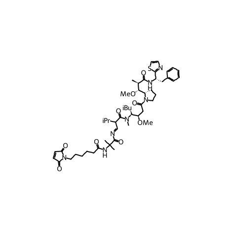 CC[C@H](C)[C@@H]([C@@H](CC(=O)N1CCC[C@H]1[C@H](OC)[C@@H](C)C(=O)N[C@@H](Cc1ccccc1)c1nccs1)OC)N(C)C(=O)C(/C=N/C(=O)C(C)(C)NC(=O)CCCCCN1C(=O)C=CC1=O)C(C)C